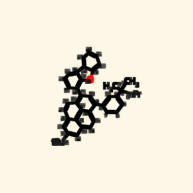 CCCC(C)(C)c1cccc(-c2cc(-c3cccc4c3oc3ccccc34)c3ccc4cc(C(C)(C)C)cc5ccc2c3c54)c1